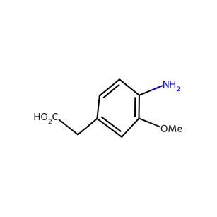 COc1cc(CC(=O)O)ccc1N